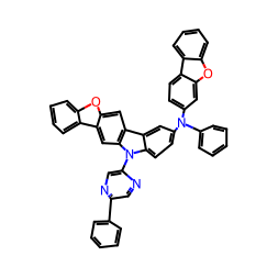 c1ccc(-c2cnc(-n3c4ccc(N(c5ccccc5)c5ccc6c(c5)oc5ccccc56)cc4c4cc5oc6ccccc6c5cc43)cn2)cc1